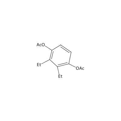 CCc1c(OC(C)=O)ccc(OC(C)=O)c1CC